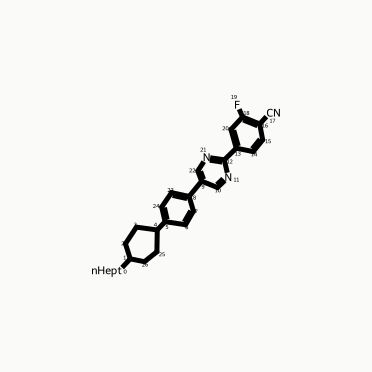 CCCCCCCC1CCC(c2ccc(-c3cnc(-c4ccc(C#N)c(F)c4)nc3)cc2)CC1